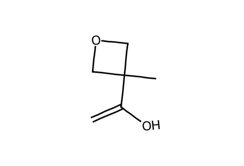 C=C(O)C1(C)COC1